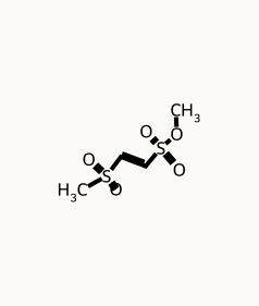 COS(=O)(=O)C=CS(C)(=O)=O